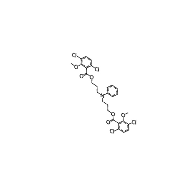 COc1c(Cl)ccc(Cl)c1C(=O)OCCCN(CCCOC(=O)c1c(Cl)ccc(Cl)c1OC)c1ccccc1